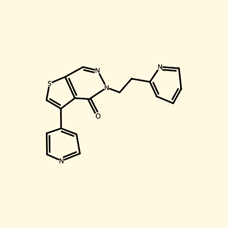 O=c1c2c(-c3ccncc3)csc2cnn1CCc1ccccn1